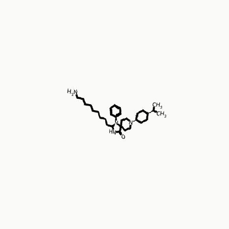 CC(C)[C@H]1CC[C@H](N2CCC3(CC2)C(=O)NC(CCCCCCCCCN)N3c2ccccc2)CC1